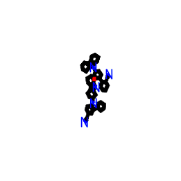 N#Cc1ccc2c(c1)c1ccccc1n2-c1ccc2c3ccccc3n(-c3cccc(C#N)c3-c3ccc(-n4c5ccccc5c5ccccc54)cc3)c2c1